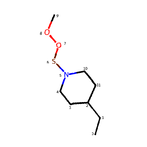 CCC1CCN(SOOC)CC1